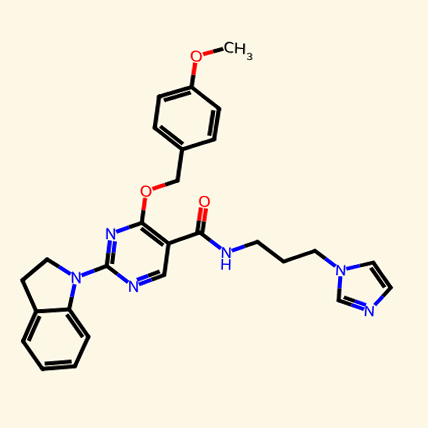 COc1ccc(COc2nc(N3CCc4ccccc43)ncc2C(=O)NCCCn2ccnc2)cc1